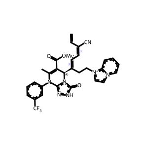 C=C/C(C#N)=C\C=C(/CC[n+]1ccn2ccccc21)[C@@H]1C(C(=O)OC)=C(C)N(c2cccc(C(F)(F)F)c2)c2n[nH]c(=O)n21